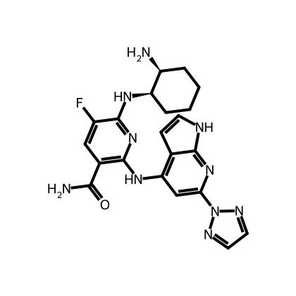 NC(=O)c1cc(F)c(N[C@@H]2CCCC[C@@H]2N)nc1Nc1cc(-n2nccn2)nc2[nH]ccc12